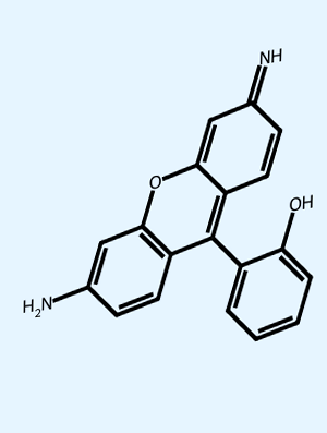 N=c1ccc2c(-c3ccccc3O)c3ccc(N)cc3oc-2c1